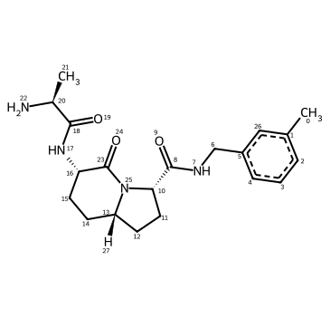 Cc1cccc(CNC(=O)[C@@H]2CC[C@@H]3CC[C@H](NC(=O)[C@H](C)N)C(=O)N32)c1